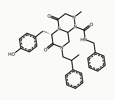 CC(CN1CC2N(C(=O)CN(C)N2C(=O)NCc2ccccc2)[C@@H](Cc2ccc(O)cc2)C1=O)c1ccccc1